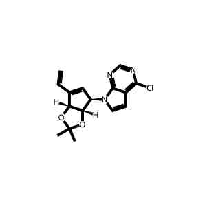 C=CC1=C[C@@H](n2ccc3c(Cl)ncnc32)[C@@H]2OC(C)(C)O[C@H]12